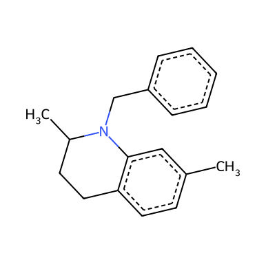 Cc1ccc2c(c1)N(Cc1ccccc1)C(C)CC2